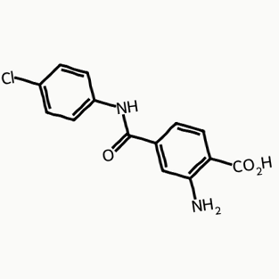 Nc1cc(C(=O)Nc2ccc(Cl)cc2)ccc1C(=O)O